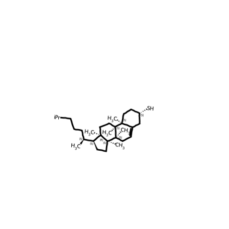 CC(C)CCC[C@H](C)[C@@H]1CC[C@]2(C)[C@]3(C)CC=C4C[C@@H](S)CC[C@]4(C)[C@]3(C)CC[C@]12C